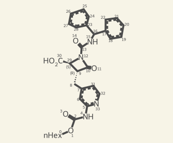 CCCCCCOC(=O)Nc1cc(C[C@H]2C(=O)N(C(=O)NC(c3ccccc3)c3ccccc3)[C@@H]2C(=O)O)ccn1